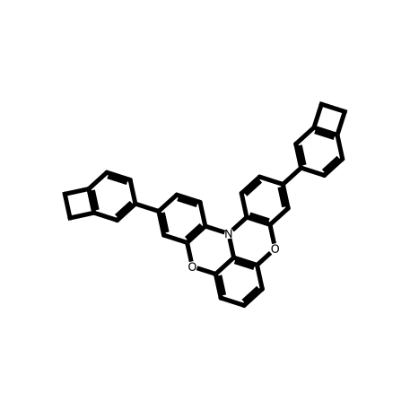 c1cc2c3c(c1)Oc1cc(-c4ccc5c(c4)CC5)ccc1N3c1ccc(-c3ccc4c(c3)CC4)cc1O2